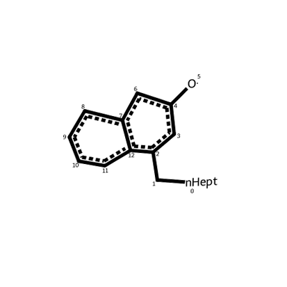 CCCCCCCCc1cc([O])cc2ccccc12